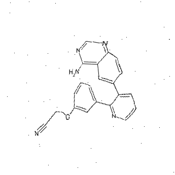 N#CCOc1cccc(-c2ncccc2-c2ccc3ncnc(N)c3c2)c1